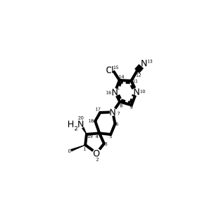 C[C@@H]1OCC2(CCN(c3cnc(C#N)c(Cl)n3)CC2)[C@@H]1N